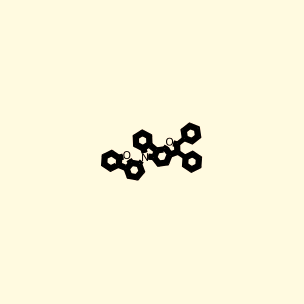 c1ccc(-c2oc3c(ccc4c3c3ccccc3n4-c3cccc4c3oc3ccccc34)c2-c2ccccc2)cc1